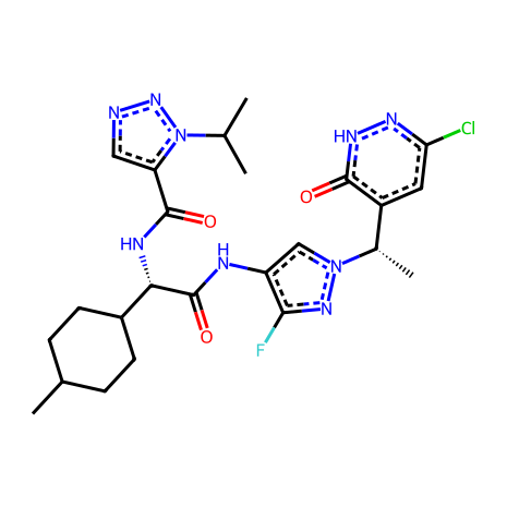 CC1CCC([C@H](NC(=O)c2cnnn2C(C)C)C(=O)Nc2cn([C@@H](C)c3cc(Cl)n[nH]c3=O)nc2F)CC1